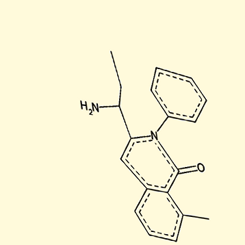 CCC(N)c1cc2cccc(C)c2c(=O)n1-c1ccccc1